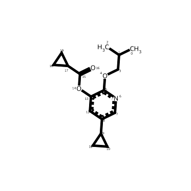 CC(C)COc1ncc(C2CC2)cc1OC(=O)C1CC1